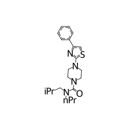 CCCN(CC(C)C)C(=O)N1CCN(c2nc(-c3ccccc3)cs2)CC1